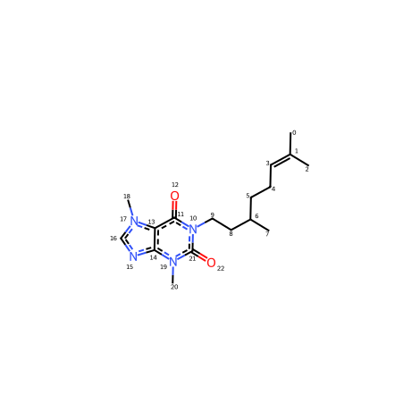 CC(C)=CCCC(C)CCn1c(=O)c2c(ncn2C)n(C)c1=O